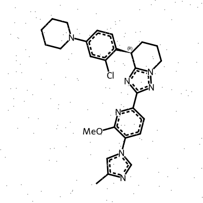 COc1nc(-c2nc3n(n2)CCC[C@@H]3c2ccc(N3CCCCC3)cc2Cl)ccc1-n1cnc(C)c1